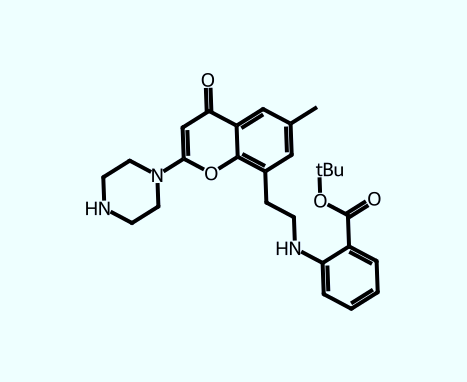 Cc1cc(CCNc2ccccc2C(=O)OC(C)(C)C)c2oc(N3CCNCC3)cc(=O)c2c1